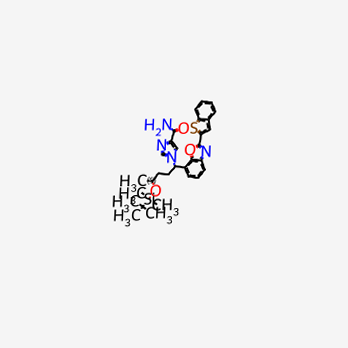 C[C@@H](CCC(c1cccc2nc(-c3cc4ccccc4s3)oc12)n1cnc(C(N)=O)c1)O[Si](C)(C)C(C)(C)C